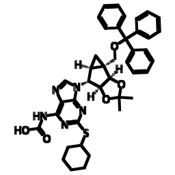 CC1(C)O[C@H]2[C@H](n3cnc4c(NC(=O)O)nc(SC5CCCCC5)nc43)[C@H]3C[C@@]3(COC(c3ccccc3)(c3ccccc3)c3ccccc3)[C@H]2O1